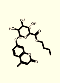 CCCCOC(=O)C1O[C@@H](Oc2ccc3c(C)cc(=O)oc3c2)C(O)C(O)[C@@H]1O